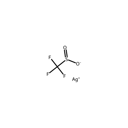 O=S([O-])C(F)(F)F.[Ag+]